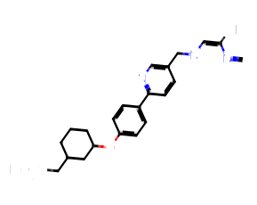 C=N/C(=C\NCc1ccc(-c2ccc(OC3CCCC(CC(=O)O)C3)cc2)nc1)C(F)(F)F